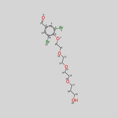 O=Cc1cc(Br)c(OCCOCCOCCOCCCO)c(Br)c1